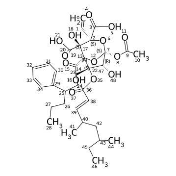 C=C[C@]1(C(=O)O)O[C@]2(OC(C)=O)O[C@](C(=O)O)([C@]1(O)C(=O)O)[C@@](CCC(CCC)c1ccccc1)(OC(=O)C=CC(C)CC(C)CC)[C@H]2O